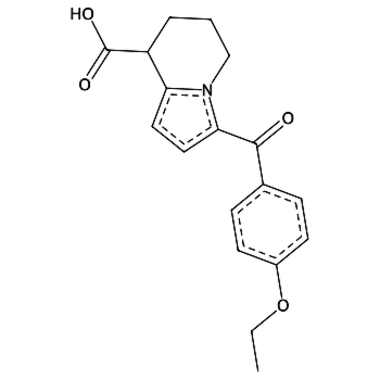 CCOc1ccc(C(=O)c2ccc3n2CCCC3C(=O)O)cc1